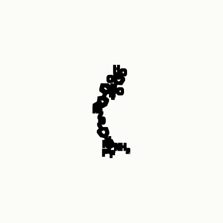 Cn1c(=O)n(C2CCC(=O)NC2=O)c2cccc(-c3ccc4c(cnn4CCOCC4CCC(n5cc(N)c(C(F)F)n5)CC4)c3)c21